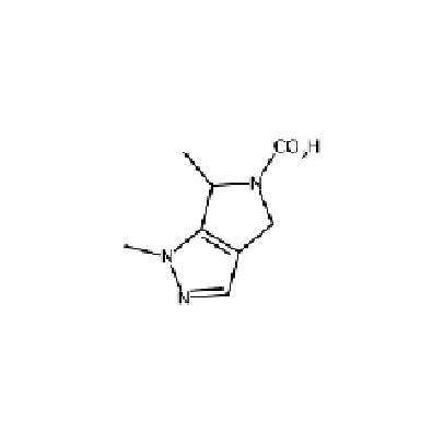 CC1c2c(cnn2C)CN1C(=O)O